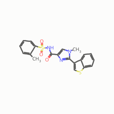 Cc1ccccc1S(=O)(=O)NC(=O)c1cn(C)c(-c2csc3ccccc23)n1